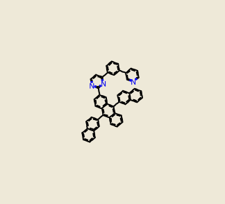 c1cncc(-c2cccc(-c3ccnc(-c4ccc5c(-c6ccc7ccccc7c6)c6ccccc6c(-c6ccc7ccccc7c6)c5c4)n3)c2)c1